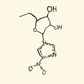 CCC1OC(n2cnc([N+](=O)[O-])c2)C(O)C1O